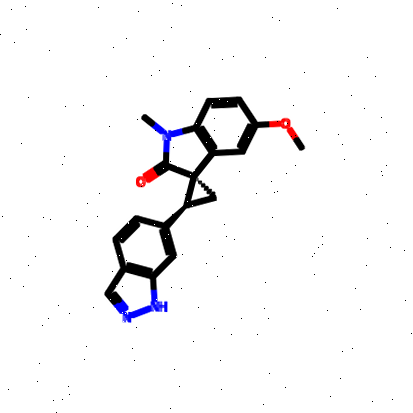 COc1ccc2c(c1)[C@]1(C[C@H]1c1ccc3cn[nH]c3c1)C(=O)N2C